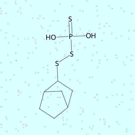 OP(O)(=S)SSC1CC2CCC1C2